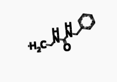 [CH2]CNC(=O)NCc1ccccc1